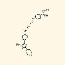 CC(C)c1sc(N2CCOCC2)nc1-c1ccc(OCCCCCOc2ccc(C(=N)NO)cc2)cc1